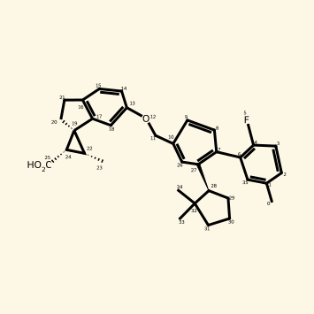 Cc1ccc(F)c(-c2ccc(COc3ccc4c(c3)[C@@]3(CC4)[C@H](C)[C@@H]3C(=O)O)cc2[C@H]2CCCC2(C)C)c1